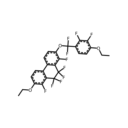 CCOc1ccc(C(F)(F)Oc2ccc3c(c2F)C(F)(F)C(F)(F)c2c-3ccc(OCC)c2F)c(F)c1F